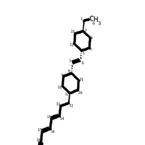 CC[C@H]1CC[C@H](/C=C/[C@H]2CC[C@H](CC/C=C/C=C/C#N)CC2)CC1